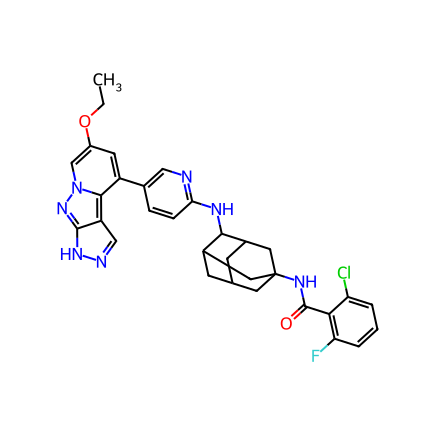 CCOc1cc(-c2ccc(NC3C4CC5CC3CC(NC(=O)c3c(F)cccc3Cl)(C5)C4)nc2)c2c3cn[nH]c3nn2c1